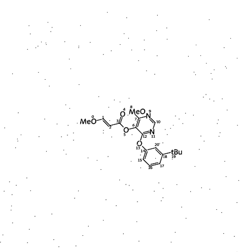 COC=CC(=O)Oc1c(OC)ncnc1Oc1cccc(C(C)(C)C)c1